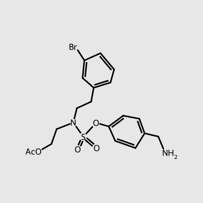 CC(=O)OCCN(CCc1cccc(Br)c1)S(=O)(=O)Oc1ccc(CN)cc1